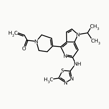 C=CC(=O)N1CC=C(c2nc(Nc3nnc(C)s3)cc3c2ccn3C(C)C)CC1